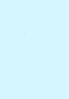 CC(C)(C)c1ccc2c(c1)-c1ccc3c(c1C2)c1cc(-n2c4ccccc4c4ccccc42)ccc1n3-c1ccccc1